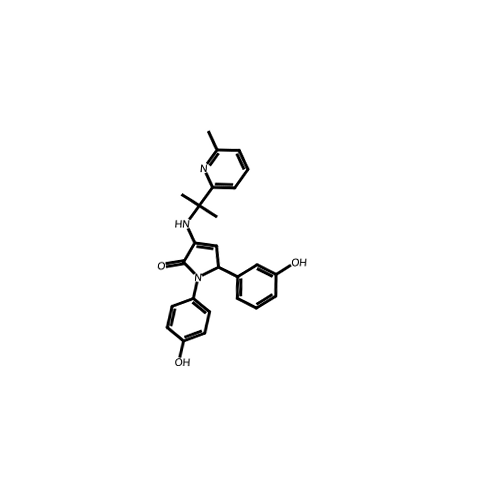 Cc1cccc(C(C)(C)NC2=CC(c3cccc(O)c3)N(c3ccc(O)cc3)C2=O)n1